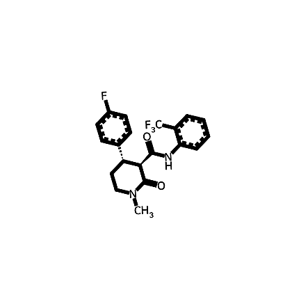 CN1CC[C@H](c2ccc(F)cc2)[C@@H](C(=O)Nc2ccccc2C(F)(F)F)C1=O